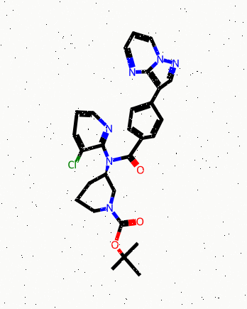 CC(C)(C)OC(=O)N1CCC[C@@H](N(C(=O)c2ccc(-c3cnn4cccnc34)cc2)c2ncccc2Cl)C1